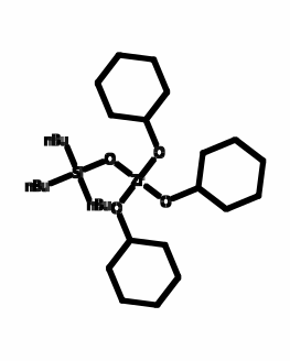 CCCC[Si](CCCC)(CCCC)[O][Zr]([O]C1CCCCC1)([O]C1CCCCC1)[O]C1CCCCC1